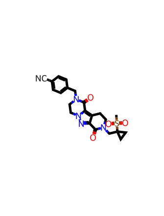 CS(=O)(=O)C1(CN2CCc3c(nn4c3C(=O)N(Cc3ccc(C#N)cc3)CC4)C2=O)CC1